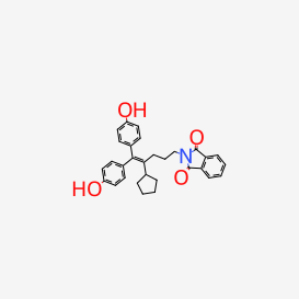 O=C1c2ccccc2C(=O)N1CCCC(=C(c1ccc(O)cc1)c1ccc(O)cc1)C1CCCC1